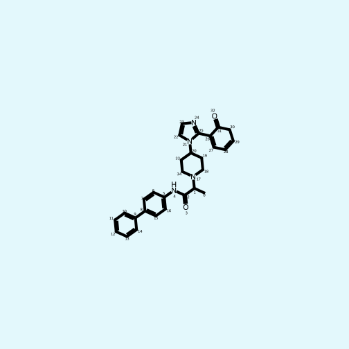 CC(C(=O)Nc1ccc(-c2ccccc2)cc1)N1CCC(n2ccnc2C2=CC=CCC2=O)CC1